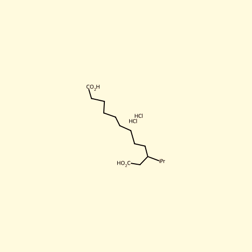 CC(C)C(CCCCCCCCC(=O)O)CC(=O)O.Cl.Cl